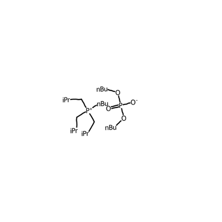 CCCCOP(=O)([O-])OCCCC.CCCC[P+](CC(C)C)(CC(C)C)CC(C)C